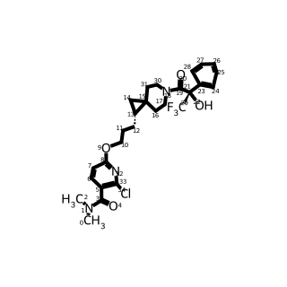 CN(C)C(=O)c1ccc(OCCC[C@@H]2CC23CCN(C(=O)[C@@](O)(c2ccccc2)C(F)(F)F)CC3)nc1Cl